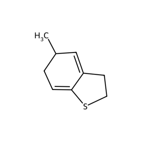 CC1C=C2CCSC2=CC1